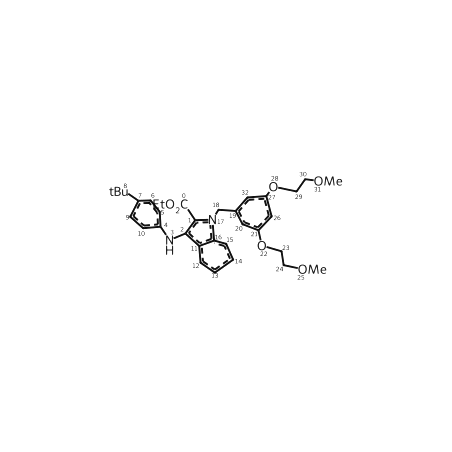 CCOC(=O)c1c(Nc2ccc(C(C)(C)C)cc2)c2ccccc2n1Cc1cc(OCCOC)cc(OCCOC)c1